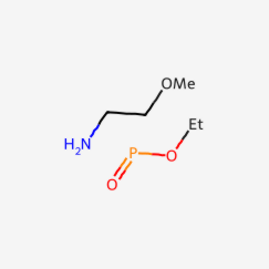 CCOP=O.COCCN